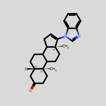 C[C@]12CCC3C(CC[C@H]4CC(=O)CC[C@]34C)C1CC=C2n1cnc2ccccc21